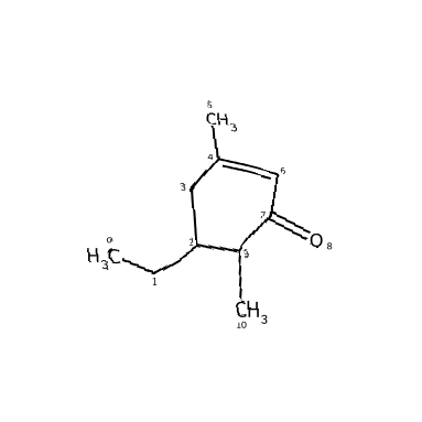 CCC1CC(C)=CC(=O)C1C